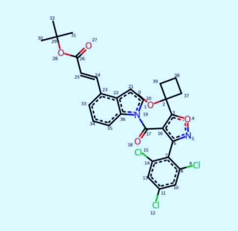 COC1(c2onc(-c3c(Cl)cc(Cl)cc3Cl)c2C(=O)n2ccc3c(/C=C/C(=O)OC(C)(C)C)cccc32)CCC1